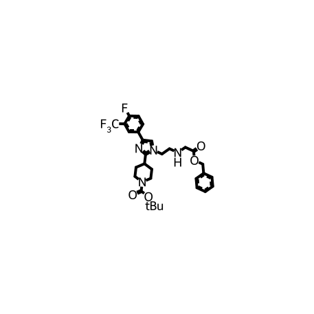 CC(C)(C)OC(=O)N1CCC(c2nc(-c3ccc(F)c(C(F)(F)F)c3)cn2CCNCC(=O)OCc2ccccc2)CC1